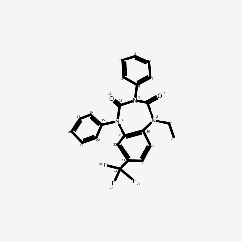 CCN1C(=O)N(c2ccccc2)C(=O)N(c2ccccc2)c2cc(C(F)(F)F)ccc21